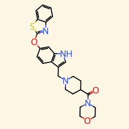 O=C(C1CCN(Cc2c[nH]c3cc(Oc4nc5ccccc5s4)ccc23)CC1)N1CCOCC1